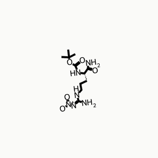 CC(C)(C)OC(=O)N[C@@H](CCCN/C(N)=N\[N+](=O)[O-])C(N)=O